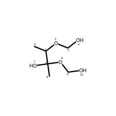 CC(OCO)C(C)(O)OCO